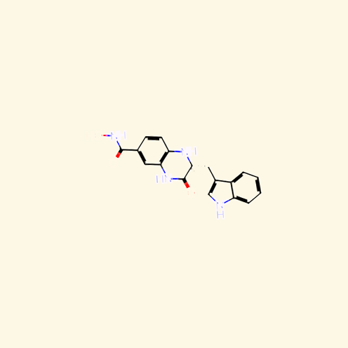 O=C(NO)c1ccc2c(c1)NC(=O)[C@@H](Cc1c[nH]c3ccccc13)N2